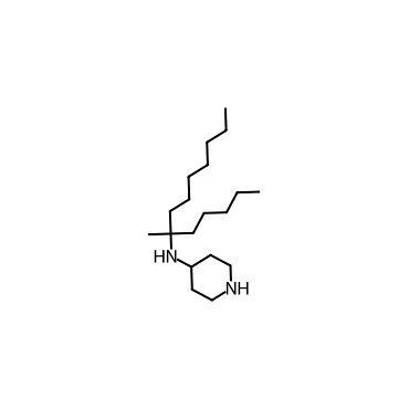 CCCCCCCC(C)(CCCCC)NC1CCNCC1